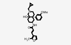 COc1cccc([C@@]23CCN(CC4CC4)C[C@@]2(O)CC[C@@H](NC(=O)C=Cc2ccoc2C)C3)c1